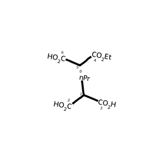 CCCC(C(=O)O)C(=O)O.CCOC(=O)CC(=O)O